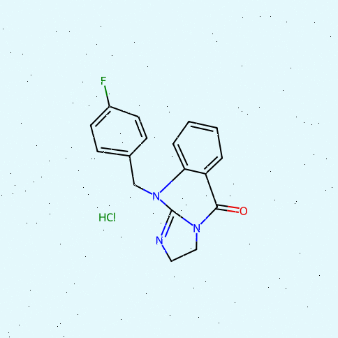 Cl.O=C1c2ccccc2N(Cc2ccc(F)cc2)C2=NCCN12